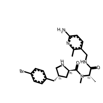 Cc1nc(N)ccc1CNC(=O)[C@H](C)N(C)C(=O)[C@H]1C[C@H](Cc2ccc(Br)cc2)CN1